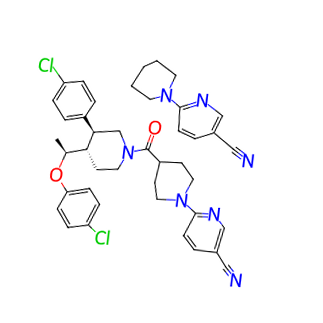 C[C@H](Oc1ccc(Cl)cc1)[C@H]1CCN(C(=O)C2CCN(c3ccc(C#N)cn3)CC2)C[C@@H]1c1ccc(Cl)cc1.N#Cc1ccc(N2CCCCC2)nc1